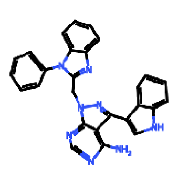 Nc1ncnc2c1c(-c1c[nH]c3ccccc13)nn2Cc1nc2ccccc2n1-c1ccccc1